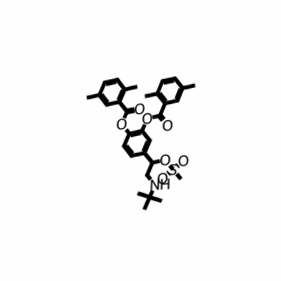 Cc1ccc(C)c(C(=O)Oc2ccc(C(CNC(C)(C)C)OS(C)(=O)=O)cc2OC(=O)c2cc(C)ccc2C)c1